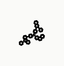 c1ccc(-c2cc3ccccc3cc2-c2ccc(N(c3ccc(-c4cccc5c4c4ccccc4n5-c4ccccc4)cc3)c3ccc4ccc5ccccc5c4c3)cc2)cc1